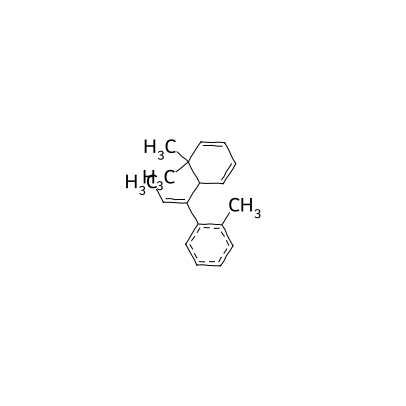 CC=C(c1ccccc1C)C1C=CC=CC1(C)C